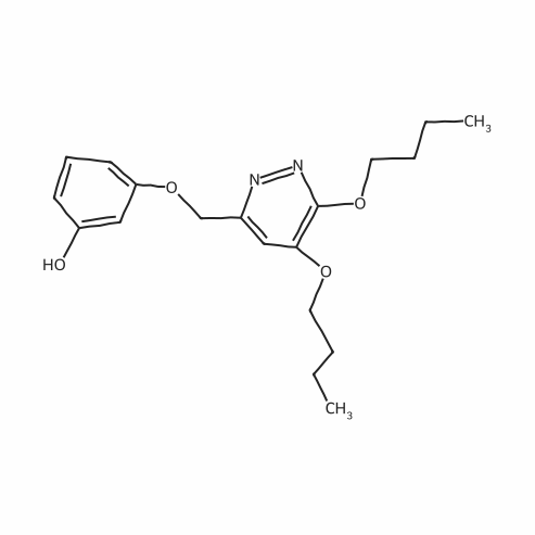 CCCCOc1cc(COc2cccc(O)c2)nnc1OCCCC